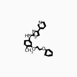 Cc1ccc(Nc2nc(-c3cccnc3)cs2)cc1OCCOc1ccccc1